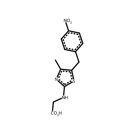 Cc1nc(NCC(=O)O)sc1Cc1ccc([N+](=O)[O-])cc1